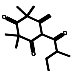 C=C1C(C(=O)C(C)CC)C(=O)C(C)(C)C(=O)C1(C)C